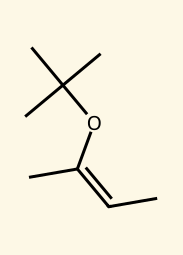 CC=C(C)OC(C)(C)C